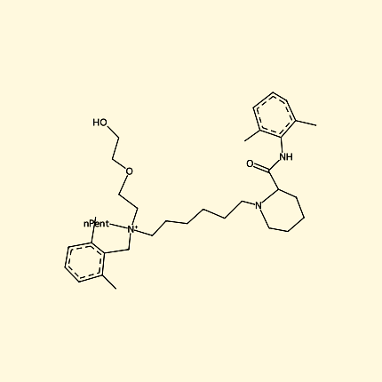 CCCCC[N+](CCCCCCN1CCCCC1C(=O)Nc1c(C)cccc1C)(CCOCCO)Cc1c(C)cccc1C